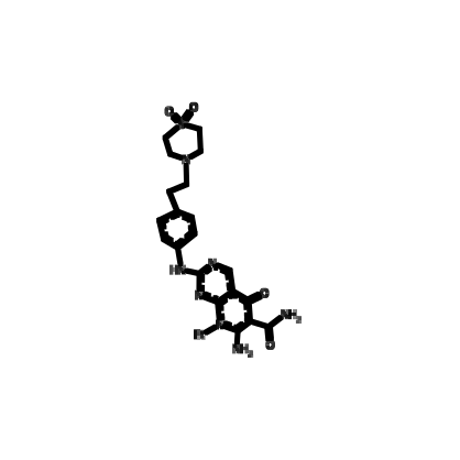 CCn1c(N)c(C(N)=O)c(=O)c2cnc(Nc3ccc(CCN4CCS(=O)(=O)CC4)cc3)nc21